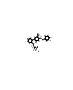 CC(=O)OCc1ccccc1-c1ccc(OCc2ccccc2)c(Br)c1